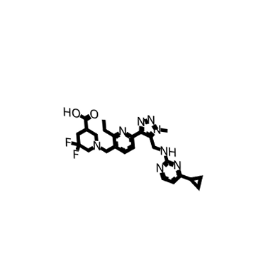 CCc1nc(-c2nnn(C)c2CNc2nccc(C3CC3)n2)ccc1CN1CC(C(=O)O)CC(F)(F)C1